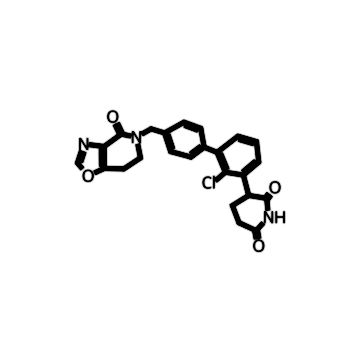 O=C1CCC(c2cccc(-c3ccc(CN4CCc5ocnc5C4=O)cc3)c2Cl)C(=O)N1